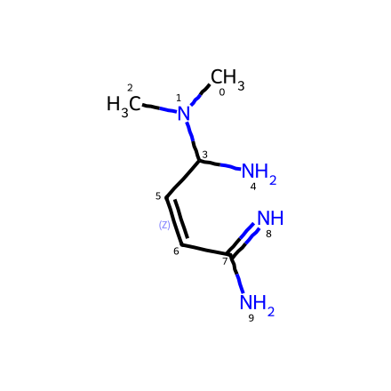 CN(C)C(N)/C=C\C(=N)N